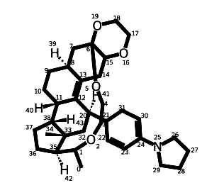 CC1OCCOC23C[C@@H]4CC[C@@H]5C(=C4CC2OCCO3)[C@@H](C2C=CC(N3CCCC3)=CC2)C[C@]2(C)[C@@H]1CC[C@H]52